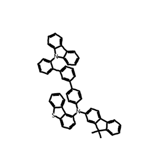 CC1(C)c2ccccc2-c2ccc(N(c3ccc(-c4cccc(-c5ccccc5-n5c6ccccc6c6ccccc65)c4)cc3)c3cccc4sc5ccccc5c34)cc21